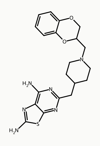 Nc1nc2c(N)nc(CC3CCN(CC4COc5ccccc5O4)CC3)nc2s1